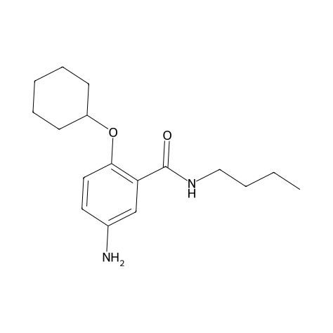 CCCCNC(=O)c1cc(N)ccc1OC1CCCCC1